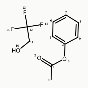 CC(=O)Oc1ccccc1.OCC(F)(F)F